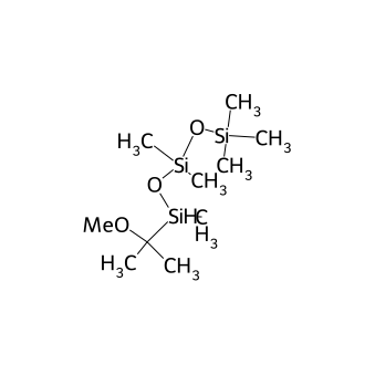 COC(C)(C)[SiH](C)O[Si](C)(C)O[Si](C)(C)C